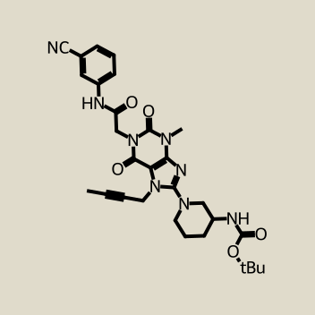 CC#CCn1c(N2CCCC(NC(=O)OC(C)(C)C)C2)nc2c1c(=O)n(CC(=O)Nc1cccc(C#N)c1)c(=O)n2C